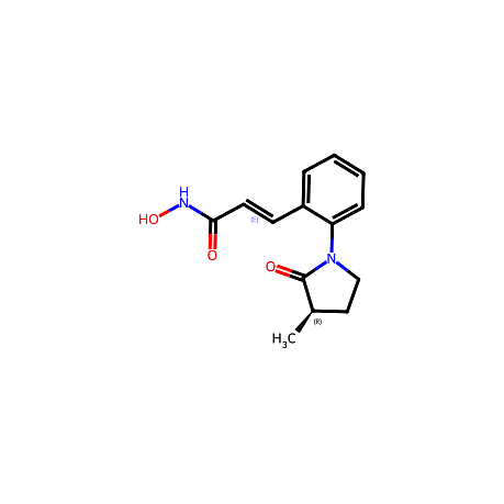 C[C@@H]1CCN(c2ccccc2/C=C/C(=O)NO)C1=O